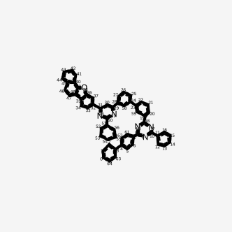 c1ccc(-c2ccc(-c3nc(-c4ccccc4)nc(-c4cccc(-c5cccc(-c6cc(-c7ccc8c(c7)oc7c9ccccc9ccc87)nc(-c7ccccc7)n6)c5)c4)n3)cc2)cc1